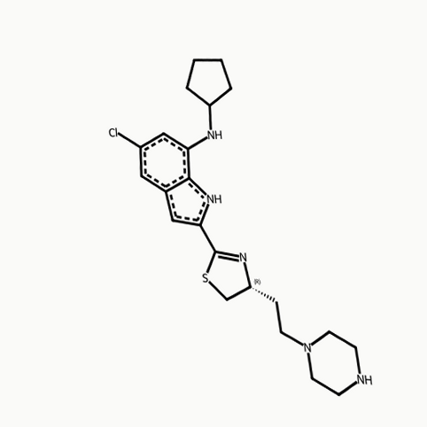 Clc1cc(NC2CCCC2)c2[nH]c(C3=N[C@H](CCN4CCNCC4)CS3)cc2c1